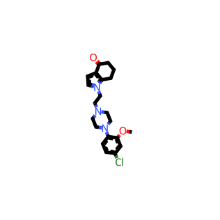 COc1cc(Cl)ccc1N1CCN(CCn2ccc3c2CCCC3=O)CC1